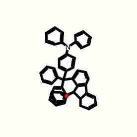 C1=CCC2C(=C1)c1cccc3c1C2(c1ccccc1)c1ccccc1C3(c1ccccc1)c1ccc(N(c2ccccc2)c2ccccc2)cc1